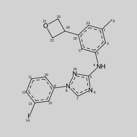 Cc1cc(Nc2ncn(-c3cccc(F)c3)n2)cc(C2COC2)c1